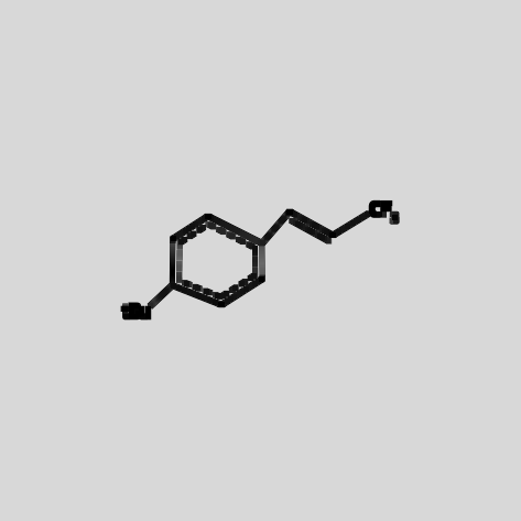 CC(C)(C)c1ccc(C=CC(F)(F)F)cc1